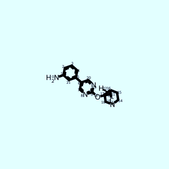 Nc1cccc(-c2cnc(O[C@H]3CN4CCC3CC4)nc2)c1